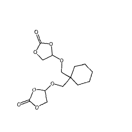 O=C1OCC(OCC2(COC3COC(=O)O3)CCCCC2)O1